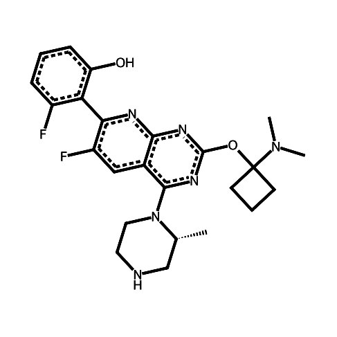 C[C@@H]1CNCCN1c1nc(OC2(N(C)C)CCC2)nc2nc(-c3c(O)cccc3F)c(F)cc12